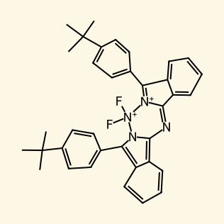 CC(C)(C)c1ccc(C2=[N+]3C(=Nc4c5ccccc5c(-c5ccc(C(C)(C)C)cc5)n4[N+]3(F)F)c3ccccc32)cc1